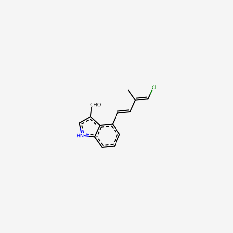 CC(/C=C/c1cccc2[nH]cc(C=O)c12)=C\Cl